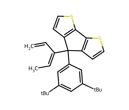 C=C/C(=C\C)C1(c2cc(C(C)(C)C)cc(C(C)(C)C)c2)c2ccsc2-c2sccc21